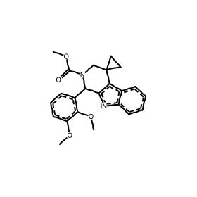 COC(=O)N1CC2(CC2)c2c([nH]c3ccccc23)C1c1cccc(OC)c1OC